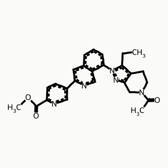 CCc1c2c(nn1-c1cccc3cc(-c4ccc(C(=O)OC)nc4)ncc13)CN(C(C)=O)CC2